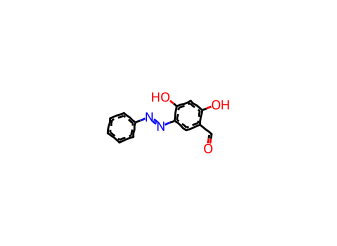 O=Cc1cc(/N=N/c2ccccc2)c(O)cc1O